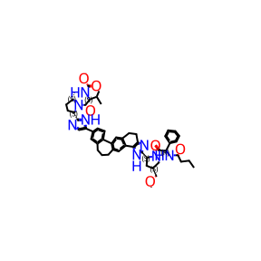 CCCC(=O)N[C@@H](C(=O)N1C[C@@H](COC)C[C@H]1c1nc2c([nH]1)-c1cc3c(cc1CC2)-c1ccc(-c2cnc([C@@H]4CC[C@H](C)N4C(=O)[C@@H](NC(=O)OC)C(C)C)[nH]2)cc1CCC3)c1ccccc1